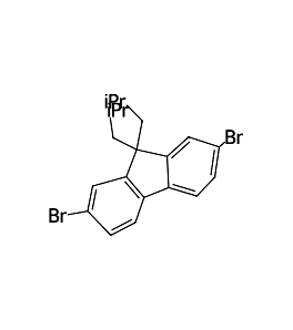 CC(C)CC1(CC(C)C)c2cc(Br)ccc2-c2ccc(Br)cc21